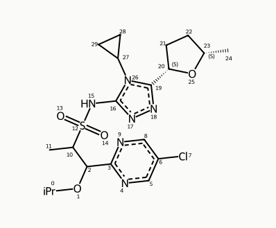 CC(C)OC(c1ncc(Cl)cn1)C(C)S(=O)(=O)Nc1nnc([C@@H]2CC[C@H](C)O2)n1C1CC1